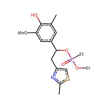 CCOP(=O)(CC)OC(Cc1csc(C)n1)c1cc(C)c(O)c(OC)c1